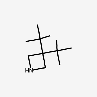 CC(C)(C)C1(C(C)(C)C)CNC1